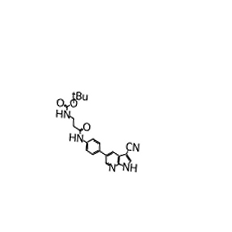 CC(C)(C)OC(=O)NCCC(=O)Nc1ccc(-c2cnc3[nH]cc(C#N)c3c2)cc1